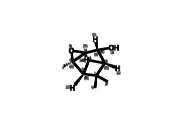 CC1(C)[C@@H]2C[C@H]1[C@@]1(C)O[C@H]1[C@@H]2O